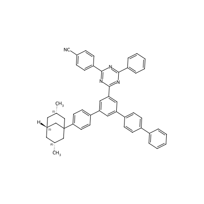 C[C@@H]1C[C@@H]2C[C@H](C)CC(c3ccc(-c4cc(-c5ccc(-c6ccccc6)cc5)cc(-c5nc(-c6ccccc6)nc(-c6ccc(C#N)cc6)n5)c4)cc3)(C1)C2